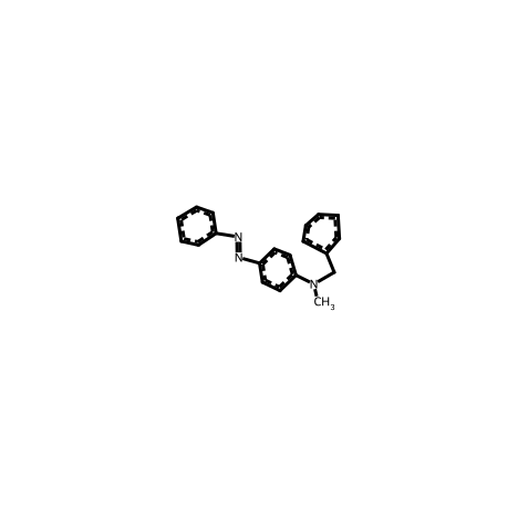 CN(Cc1ccccc1)c1ccc(N=Nc2ccccc2)cc1